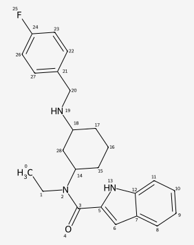 CCN(C(=O)c1cc2ccccc2[nH]1)C1CCCC(NCc2ccc(F)cc2)C1